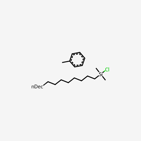 CCCCCCCCCCCCCCCCCC[Si](C)(C)Cl.Cc1ccccc1